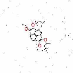 CCOC1=C(OC(C)CC(C)(C)C)c2ccc3c4c(ccc1c24)C(OCC)=C3OC(C)(C)CC(C)C